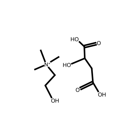 C[N+](C)(C)CCO.O=C(O)CC(O)C(=O)O